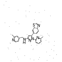 Cc1cc(CNc2cc(C3=CC4SC=NC4C=C3)n(-c3cccc(C)n3)n2)ccn1